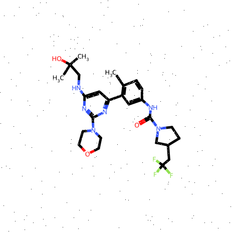 Cc1ccc(NC(=O)N2CCC(CC(F)(F)F)C2)cc1-c1cc(NCC(C)(C)O)nc(N2CCOCC2)n1